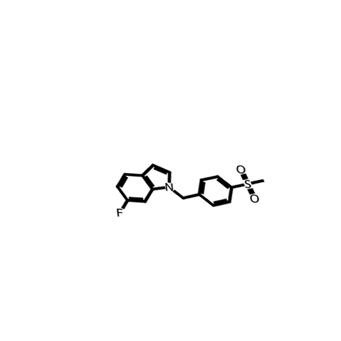 CS(=O)(=O)c1ccc(Cn2ccc3ccc(F)cc32)cc1